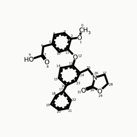 COc1ccc(CC(=O)O)cc1Oc1ccc(-c2ccccc2)cc1CN1CCOC1=O